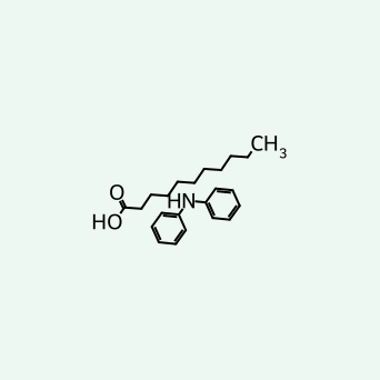 CCCCCCCCCCC(=O)O.c1ccc(Nc2ccccc2)cc1